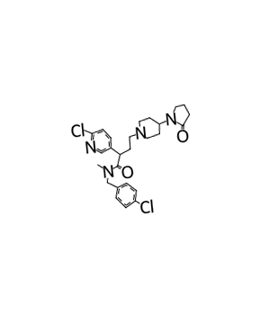 CN(Cc1ccc(Cl)cc1)C(=O)C(CCN1CCC(N2CCCC2=O)CC1)c1ccc(Cl)nc1